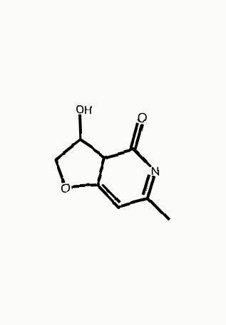 CC1=NC(=O)C2C(=C1)OCC2O